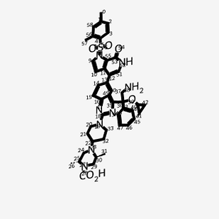 Cc1ccc(S(=O)(=O)n2ccc3c(-c4ccc5nc(N6CCC(N7C[C@@H](C)N(C(=O)O)C[C@@H]7C)CC6)nc(C(CN)(OC6CC6)c6ccccc6)c5c4)c[nH]c(=O)c32)c(C)c1